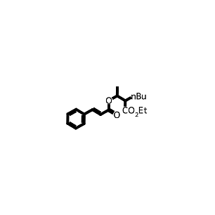 CCCCC(C(=O)OCC)C(C)OC(=O)C=Cc1ccccc1